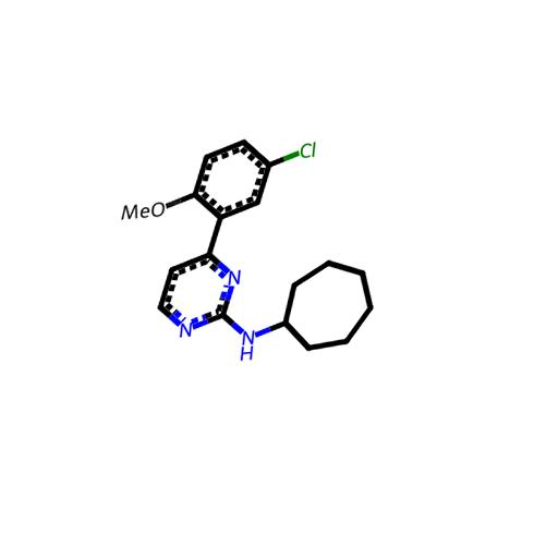 COc1ccc(Cl)cc1-c1ccnc(NC2CCCCCC2)n1